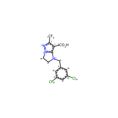 O=C(O)c1c(C(F)(F)F)nn2c1N(Cc1cc(Cl)cc(Cl)c1)CC2